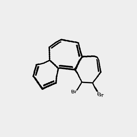 BrC1C=CC2=CC=CC3C=CC=CC3=C2C1Br